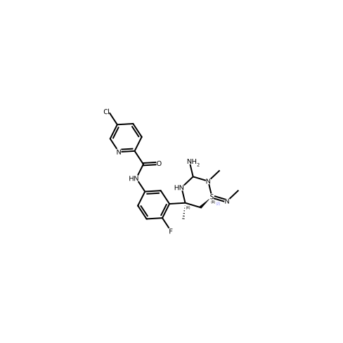 C/N=[S@]1/C[C@@](C)(c2cc(NC(=O)c3ccc(Cl)cn3)ccc2F)NC(N)N1C